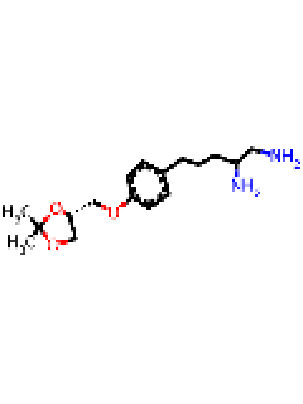 CC1(C)OC[C@@H](COc2ccc(CCCC(N)CN)cc2)O1